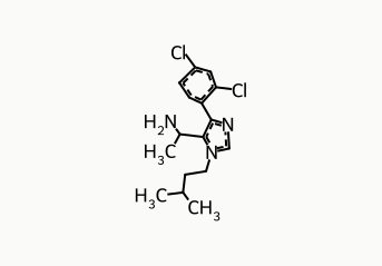 CC(C)CCn1cnc(-c2ccc(Cl)cc2Cl)c1C(C)N